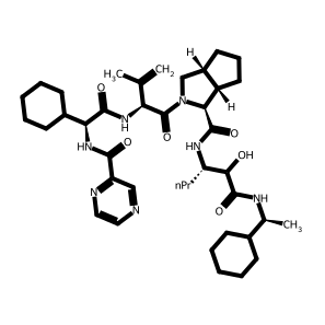 C=C(C)[C@H](NC(=O)[C@@H](NC(=O)c1cnccn1)C1CCCCC1)C(=O)N1C[C@@H]2CCC[C@@H]2[C@H]1C(=O)N[C@@H](CCC)C(O)C(=O)N[C@@H](C)C1CCCCC1